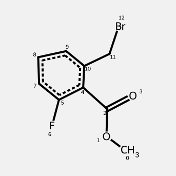 COC(=O)c1c(F)cccc1CBr